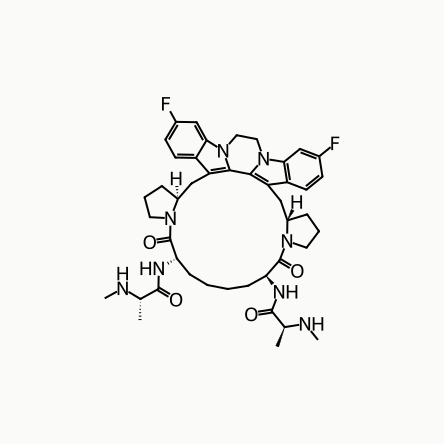 CN[C@@H](C)C(=O)N[C@H]1CCCC[C@H](NC(=O)[C@H](C)NC)C(=O)N2CCC[C@H]2Cc2c3n(c4cc(F)ccc24)CCn2c-3c(c3ccc(F)cc32)C[C@@H]2CCCN2C1=O